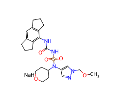 COCn1cc(N(C2CCOCC2)S(=O)(=O)NC(=O)Nc2c3c(cc4c2CCC4)CCC3)cn1.[NaH]